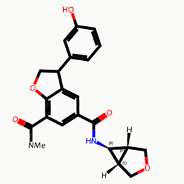 CNC(=O)c1cc(C(=O)N[C@H]2[C@@H]3COC[C@@H]32)cc2c1OCC2c1cccc(O)c1